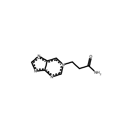 NC(=O)CCn1cnc2ncnc-2c1